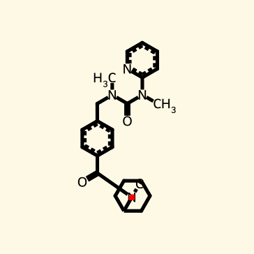 CN(Cc1ccc(C(=O)N2CC3CCC(CC3)C2)cc1)C(=O)N(C)c1ccccn1